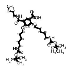 CNCCNC(=O)c1cc(C(=O)O)c(OCCCCCNC(=O)OC(C)(C)C)cc1OCCCCCNC(=O)OC(C)(C)C